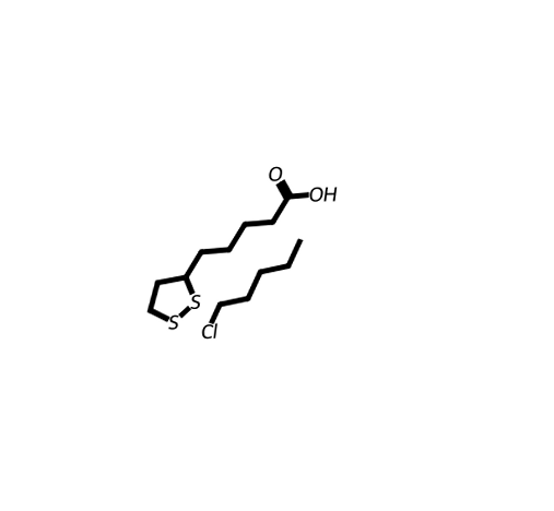 CCCCCCl.O=C(O)CCCCC1CCSS1